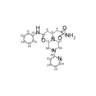 NS(=O)(=O)CC(CC(=O)Nc1ccccc1)N1CCN(c2ccccn2)CC1